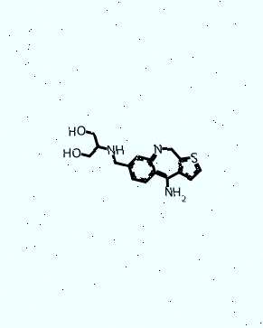 NC1=c2ccc(CNC(CO)CO)cc2=NCc2sccc21